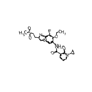 CCOc1c(NC(=O)c2cccn(C3CC3)c2=O)cn2cc(CCS(C)(=O)=O)nc2c1F